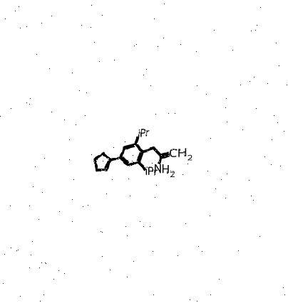 C=C(N)Cc1c(C(C)C)cc(C2=CCCC2)cc1C(C)C